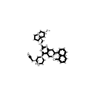 N#CC[C@H]1CN(c2nc(OC[C@@]34CCCN3C[C@H](F)C4)nc3c2COC(c2cccc4cccc(Cl)c24)C3)CCN1